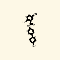 N#Cc1ccc(-c2ccc(NC(=O)c3cc(C#N)ccc3O)cc2)cc1